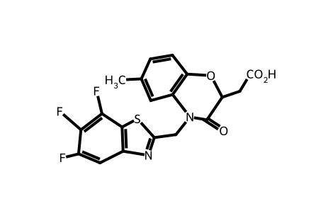 Cc1ccc2c(c1)N(Cc1nc3cc(F)c(F)c(F)c3s1)C(=O)C(CC(=O)O)O2